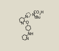 CC(C)(C)N(C(=O)O)[C@H]1CCN(c2cccnc2Oc2ccc(Nc3ccccn3)cc2)C1